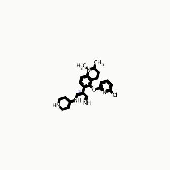 CC1CCc2c(ccc(/C(C=N)=C/NC3CCNCC3)c2Oc2cccc(Cl)n2)N1C